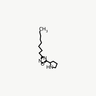 CCCCCCCCc1noc(C2CCCN2)n1